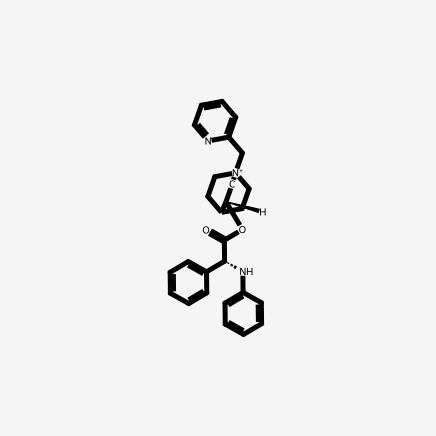 O=C(O[C@H]1C[N+]2(Cc3ccccn3)CCC1CC2)[C@H](Nc1ccccc1)c1ccccc1